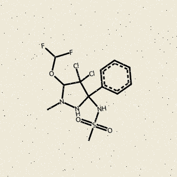 CN1NC(NS(C)(=O)=O)(c2ccccc2)C(Cl)(Cl)C1OC(F)F